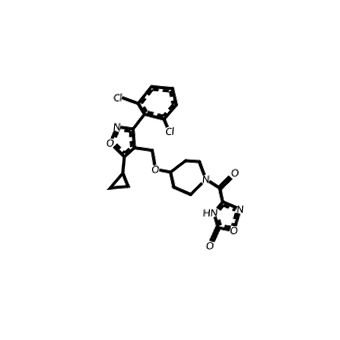 O=C(c1noc(=O)[nH]1)N1CCC(OCc2c(-c3c(Cl)cccc3Cl)noc2C2CC2)CC1